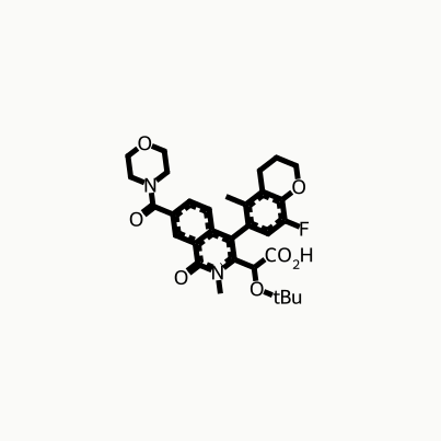 Cc1c(-c2c(C(OC(C)(C)C)C(=O)O)n(C)c(=O)c3cc(C(=O)N4CCOCC4)ccc23)cc(F)c2c1CCCO2